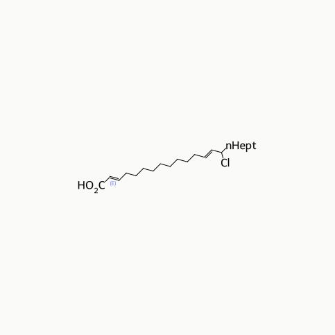 CCCCCCCC(Cl)C=CCCCCCCCCC/C=C/C(=O)O